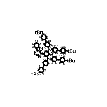 CC(C)(C)c1ccc(-c2ccc(N3c4ccc(-c5ccc(C(C)(C)C)cc5)cc4B4c5cc(-c6ccc(C(C)(C)C)cc6)ccc5N(c5ccc(-c6ccc(C(C)(C)C)cc6)cc5)c5cc(-c6ncnc7c6oc6ccccc67)cc3c54)cc2)cc1